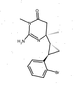 CN1C(=O)C[C@@](C)([C@@H]2C[C@H]2c2ccccc2Br)N=C1N